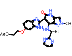 CC[C@@H](Nc1c(-c2nc3ccc(OCCOC)cc3[nH]2)c(=O)[nH]c2cn(C)nc12)c1ncccn1